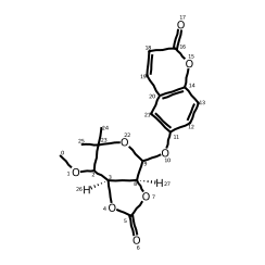 COC1[C@@H]2OC(=O)O[C@@H]2C(Oc2ccc3oc(=O)ccc3c2)OC1(C)C